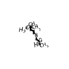 CNC(=O)CN=CCCC(C)(C)C